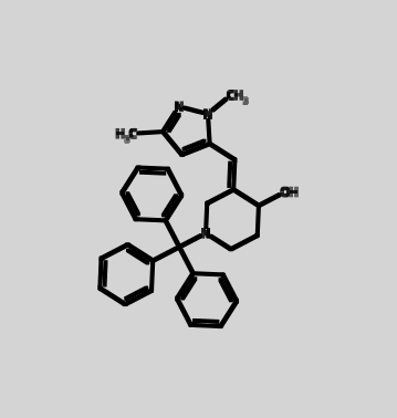 Cc1cc(/C=C2\CN(C(c3ccccc3)(c3ccccc3)c3ccccc3)CCC2O)n(C)n1